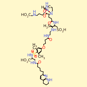 Cc1cc(OCCCC(=O)NCCNC(=[SiH2])[C@H](CS(=O)(=O)O)NC(=O)CCC2C(=O)O[C@H]3CN(CCCNCC(=O)O)CCN2CCCN3)cc(C)c1S(=O)(=O)NC(CNC(=O)CCCCc1ccc2c(n1)NCCC2)C(=O)O